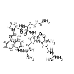 N=C(N)NCCCC(NC(=O)C(CCCNC(=N)N)NC(=O)C(CCCCN)NC(=O)C1CCCN1C(=O)Cc1cccc2ccccc12)C(N)=O